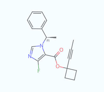 CC#CC1(OC(=O)c2c(F)ncn2[C@H](C)c2ccccc2)CCC1